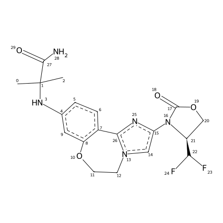 CC(C)(Nc1ccc2c(c1)OCCn1cc(N3C(=O)OC[C@H]3C(F)F)nc1-2)C(N)=O